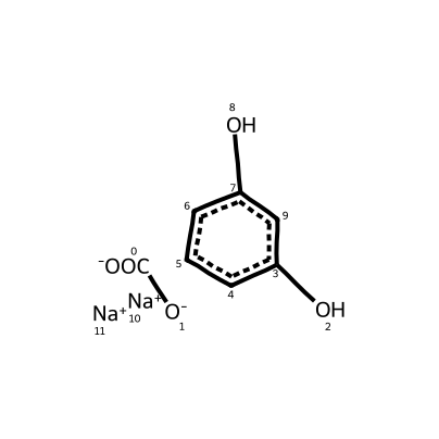 O=C([O-])[O-].Oc1cccc(O)c1.[Na+].[Na+]